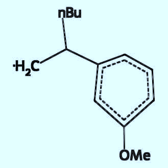 [CH2]C(CCCC)c1cccc(OC)c1